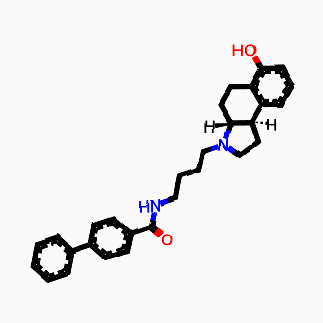 O=C(NCCCCN1CC[C@@H]2c3cccc(O)c3CC[C@H]21)c1ccc(-c2ccccc2)cc1